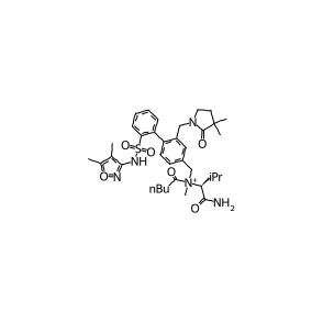 CCCCC(=O)[N+](C)(Cc1ccc(-c2ccccc2S(=O)(=O)Nc2noc(C)c2C)c(CN2CCC(C)(C)C2=O)c1)[C@H](C(N)=O)C(C)C